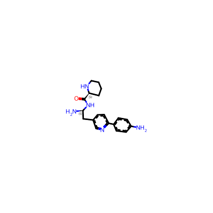 Nc1ccc(-c2ccc(C[C@@H](N)NC(=O)[C@@H]3CCCCN3)cn2)cc1